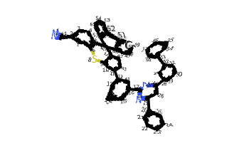 N#Cc1ccc2c(c1)Sc1cc(-c3cccc(-c4nc(-c5ccccc5)cc(-c5cccc(-c6ccccc6)c5)n4)c3)ccc1C21c2ccccc2-c2ccccc21